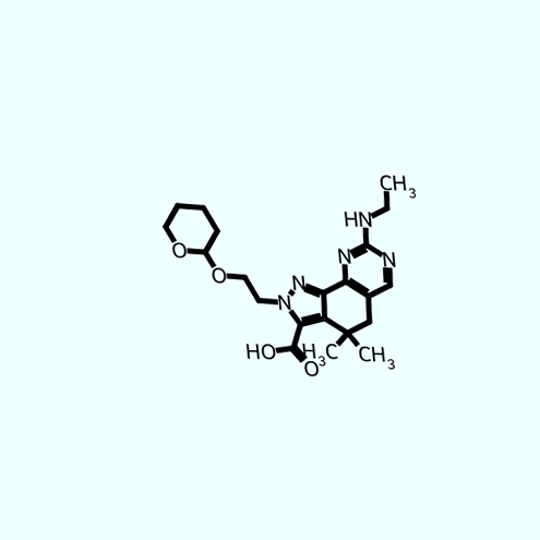 CCNc1ncc2c(n1)-c1nn(CCOC3CCCCO3)c(C(=O)O)c1C(C)(C)C2